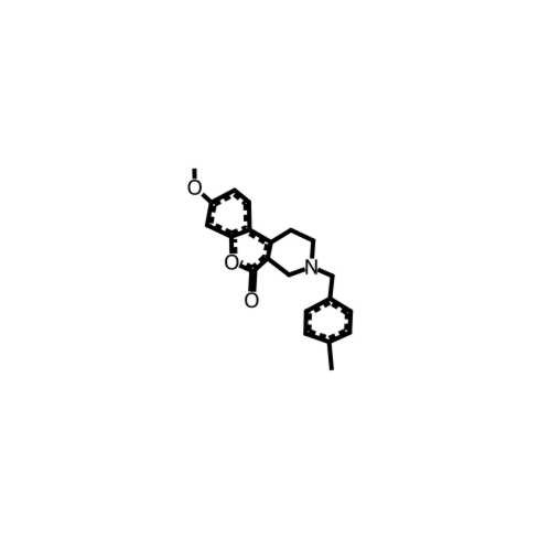 COc1ccc2c3c(c(=O)oc2c1)CN(Cc1ccc(C)cc1)CC3